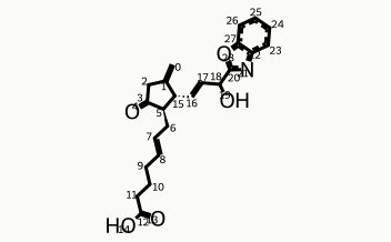 C=C1CC(=O)[C@H](CC=CCCCC(=O)O)[C@H]1C=CC(O)c1nc2ccccc2o1